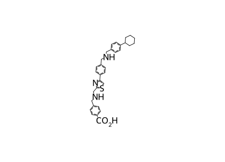 O=C(O)c1ccc(CNCc2nc(-c3ccc(CNCc4ccc(C5CCCCC5)cc4)cc3)cs2)cc1